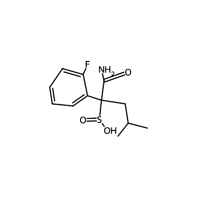 CC(C)CC(C(N)=O)(c1ccccc1F)S(=O)O